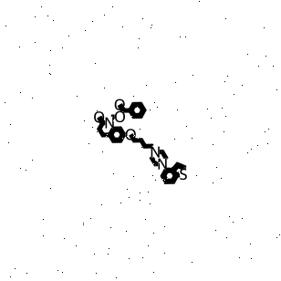 O=C(OCN1C(=O)CCc2ccc(OCCCCN3CCN(c4cccc5sccc45)CC3)cc21)c1ccccc1